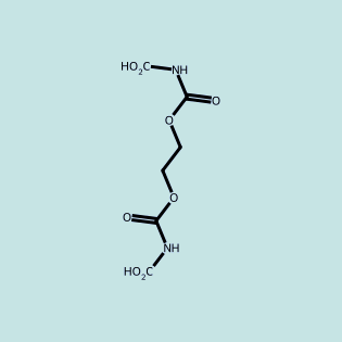 O=C(O)NC(=O)OCCOC(=O)NC(=O)O